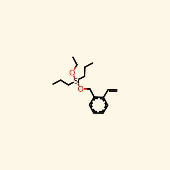 C=Cc1ccccc1CO[Si](CCC)(CCC)OCC